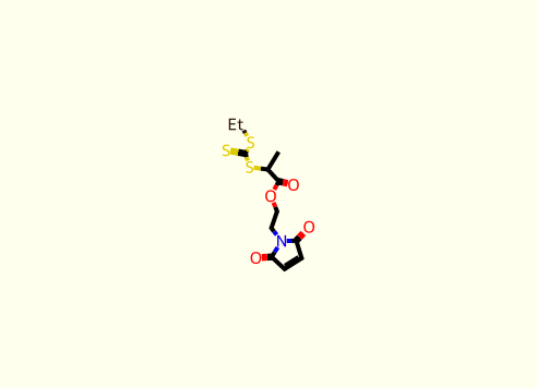 CCSC(=S)SC(C)C(=O)OCCN1C(=O)C=CC1=O